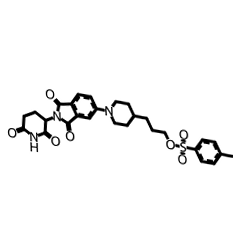 Cc1ccc(S(=O)(=O)OCCCC2CCN(c3ccc4c(c3)C(=O)N(C3CCC(=O)NC3=O)C4=O)CC2)cc1